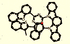 Cc1c(-c2ccc(-n3c4ccccc4c4ccc5c6ccccc6n(-c6nc(-c7ccccc7)nc(-c7cccc8c7oc7ccccc78)n6)c5c43)cc2)sc2ccccc12